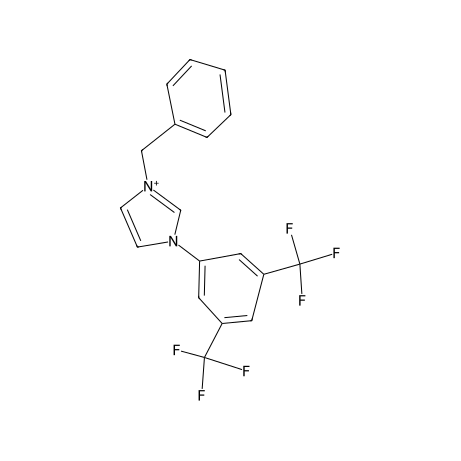 FC(F)(F)c1cc(-n2cc[n+](Cc3ccccc3)c2)cc(C(F)(F)F)c1